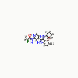 CC[C@H]1CCc2[nH]c(-c3ccnc(NC(=O)C4(F)CC4)c3)c(Nc3ccccc3)c2C1=O